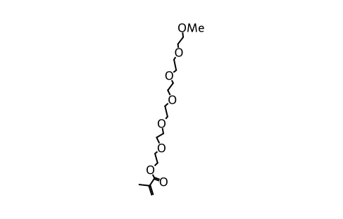 C=C(C)C(=O)OCCOCCOCCOCCOCCOCCOC